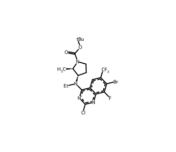 CCN(c1nc(Cl)nc2c(F)c(Br)c(C(F)(F)F)cc12)[C@@H]1CCN(C(=O)OC(C)(C)C)[C@@H]1C